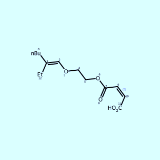 CCCCC(=COCCOC(=O)/C=C\C(=O)O)CC